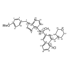 COc1ccc(Cn2cnc3c(N[C@@H](C)c4cc5cccc(Cl)c5c(CN5CCOCC5)n4)ncnc32)cc1